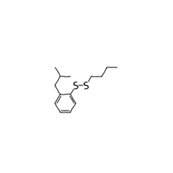 CCCCSSc1ccccc1CC(C)C